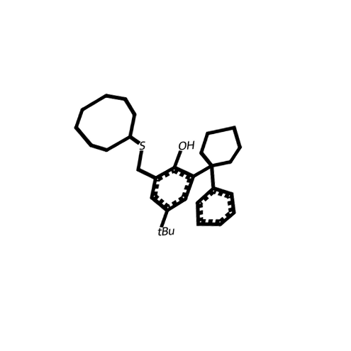 CC(C)(C)c1cc(CSC2CCCCCCC2)c(O)c(C2(c3ccccc3)CCCCC2)c1